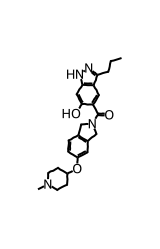 CCCc1n[nH]c2cc(O)c(C(=O)N3Cc4ccc(OC5CCN(C)CC5)cc4C3)cc12